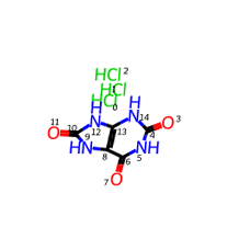 Cl.Cl.Cl.O=c1[nH]c(=O)c2[nH]c(=O)[nH]c2[nH]1